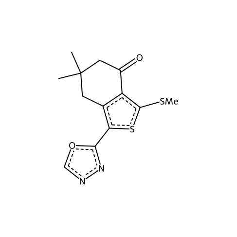 CSc1sc(-c2nnco2)c2c1C(=O)CC(C)(C)C2